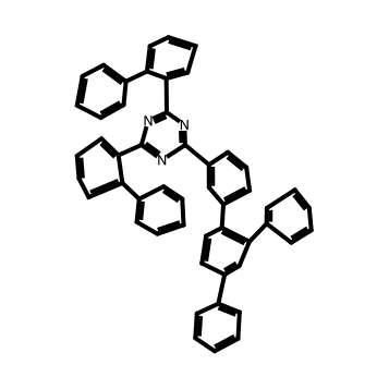 c1ccc(-c2ccc(-c3cccc(-c4nc(-c5ccccc5-c5ccccc5)nc(-c5ccccc5-c5ccccc5)n4)c3)c(-c3ccccc3)c2)cc1